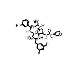 CCCC(CCC)S(=O)(=O)C[C@H](NC(=O)O[C@H]1CCOC1)C(=O)N[C@@H](Cc1cc(F)cc(F)c1)[C@H](O)CNCc1cccc(CC)c1